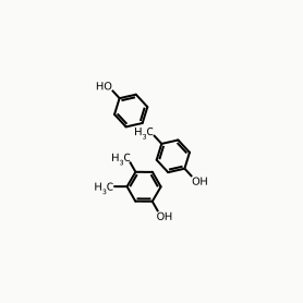 Cc1ccc(O)cc1.Cc1ccc(O)cc1C.Oc1ccccc1